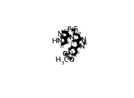 CS(=O)(=O)N1CCC(c2ncnc3c2CN(c2ccnc4[nH]ccc24)[C@@H](C(F)F)C3)CC1